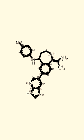 C/C(N)=C1/NCCC(Nc2ccc(Cl)cc2)c2cc(-c3cnc4[nH]cnc4c3)ccc21